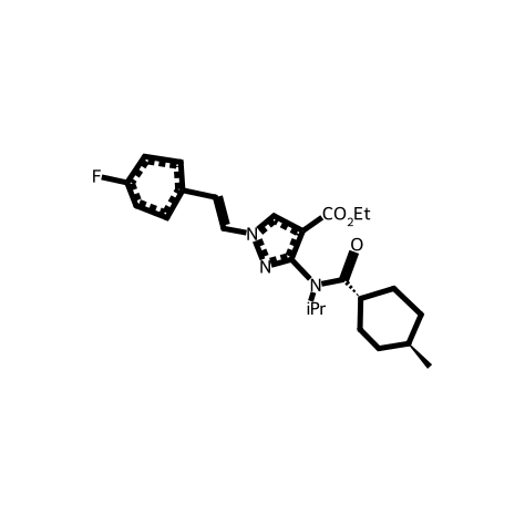 CCOC(=O)c1cn(C=Cc2ccc(F)cc2)nc1N(C(=O)[C@H]1CC[C@H](C)CC1)C(C)C